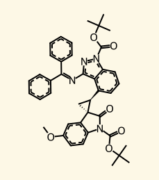 COc1ccc2c(c1)[C@]1(C[C@H]1c1cccc3c1c(N=C(c1ccccc1)c1ccccc1)nn3C(=O)OC(C)(C)C)C(=O)N2C(=O)OC(C)(C)C